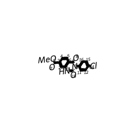 COC(=O)c1ccc2c(=O)n(-c3ccc(Cl)cc3)c(=O)[nH]c2c1